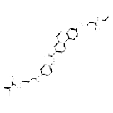 C=COC(=O)CCOc1ccc2c(ccc3cc(C(=O)Sc4ccc(OCCCOC(=O)C(=C)F)cc4)ccc32)c1